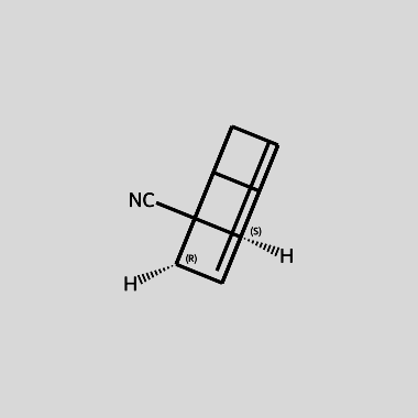 N#CC12C3C4C5=C([C@H]41)[C@H]2C53